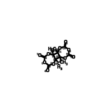 CC12OC(=O)OC(=O)OC1(C)C1(C)OC(=O)OC(=O)OC21C